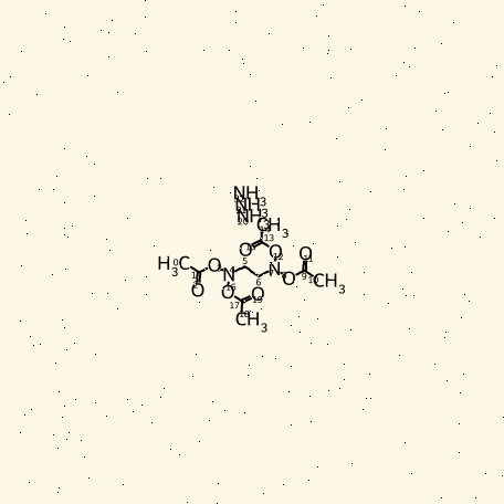 CC(=O)ON(CCN(OC(C)=O)OC(C)=O)OC(C)=O.N.N.N